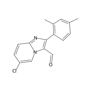 Cc1ccc(-c2nc3ccc(Cl)cn3c2C=O)c(C)c1